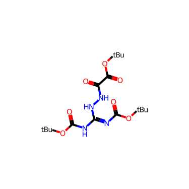 CC(C)(C)OC(=O)/N=C(\NNC(=O)C(=O)OC(C)(C)C)NC(=O)OC(C)(C)C